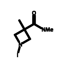 CNC(=O)C1(C)CN(I)C1